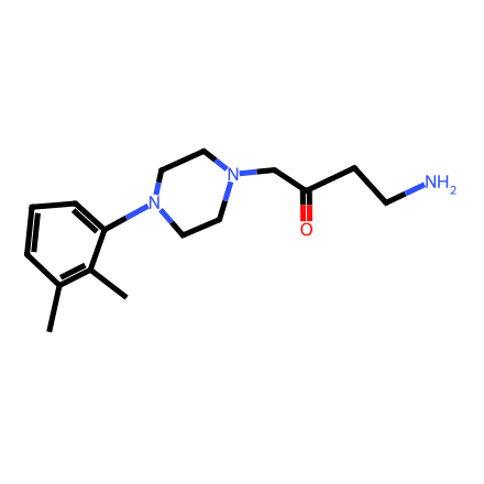 Cc1cccc(N2CCN(CC(=O)CCN)CC2)c1C